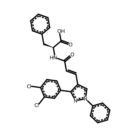 O=C(/C=C/c1cn(-c2ccccc2)nc1-c1ccc(Cl)c(Cl)c1)N[C@@H](Cc1ccccc1)C(=O)O